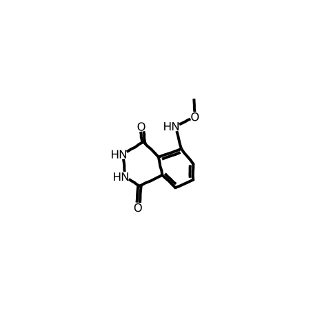 CONc1cccc2c(=O)[nH][nH]c(=O)c12